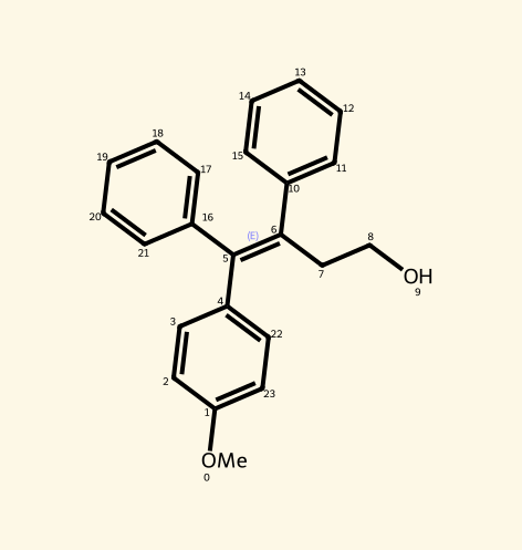 COc1ccc(/C(=C(\CCO)c2ccccc2)c2ccccc2)cc1